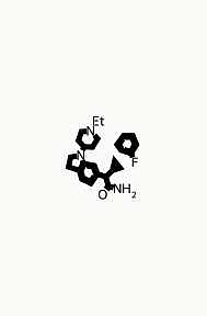 CCN1CCC(N2CCc3ccc(C(C(N)=O)C4CC4)cc32)CC1.Fc1ccccc1